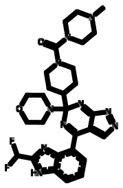 CN1CCN(C(=O)N2CCC(C3(N4CCOCC4)N=C4N=NC=C4C(c4cccc5[nH]c(C(F)F)nc45)=N3)CC2)CC1